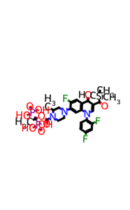 CC1CN(c2cc3c(cc2F)c(=O)c(C(=O)[Si](C)(C)C)cn3-c2ccc(F)cc2F)CCN1C(=O)OC(C)(P(=O)(O)O)P(=O)(O)O